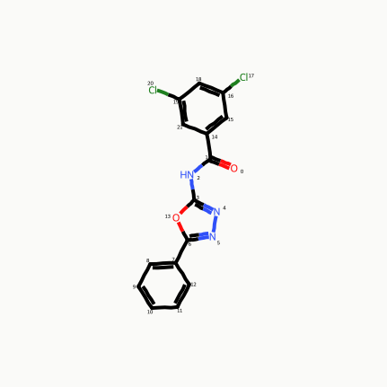 O=C(Nc1nnc(-c2ccccc2)o1)c1cc(Cl)cc(Cl)c1